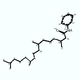 CC(C)CCCC(C)CCCC(C)CCCC(C)CC(=O)Nc1ccccc1